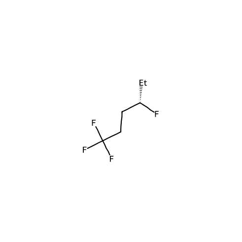 [CH2]C[C@H](F)CCC(F)(F)F